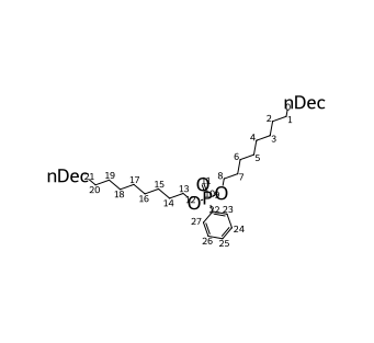 CCCCCCCCCCCCCCCCCCOP(=O)(OCCCCCCCCCCCCCCCCCC)c1ccccc1